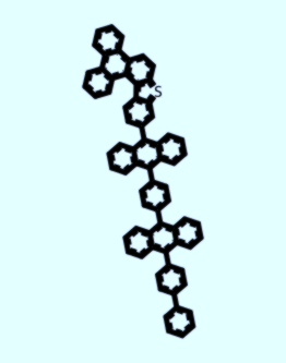 c1ccc(-c2ccc(-c3c4ccccc4c(-c4ccc(-c5c6ccccc6c(-c6ccc7c(c6)sc6ccc8c9ccccc9c9ccccc9c8c67)c6ccccc56)cc4)c4ccccc34)cc2)cc1